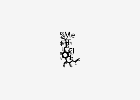 C=CCC(C)C(=C)c1ccc(CCC(F)(F)CCSC)c(Cl)c1F